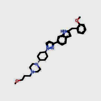 COCCCN1CCN([C@H]2CC[C@H](n3ccc(-c4ccc5cc(Cc6ccccc6OC)[nH]c5c4)n3)CC2)CC1